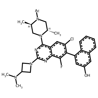 CC(=O)N1C[C@H](C)N(c2nc(N3CC(N(C)C)C3)nc3c(F)c(-c4cc(O)cc5ccccc45)c(Cl)cc23)C[C@H]1C